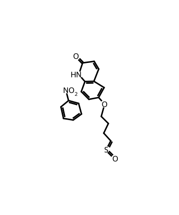 O=S=CCCCOc1ccc2[nH]c(=O)ccc2c1.O=[N+]([O-])c1ccccc1